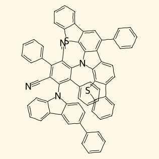 N#Cc1c(-c2ccccc2)c(C#N)c(-n2c3c(ccc4c5ccccc5sc43)c3c(-c4ccccc4)cc4c5ccccc5sc4c32)c(-c2ccccc2)c1-n1c2ccccc2c2cc(-c3ccccc3)ccc21